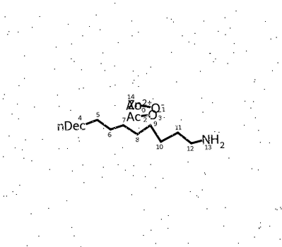 CC(=O)[O-].CC(=O)[O-].CCCCCCCCCCCCCCCCCCN.[Zn+2]